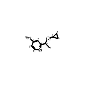 CC(OC1CC1)c1cc(Br)ccn1